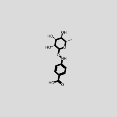 C[C@@H]1OC(ONc2ccc(C(=O)O)cc2)[C@H](O)[C@H](O)[C@H]1O